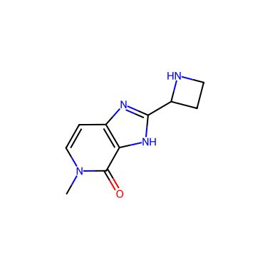 Cn1ccc2nc(C3CCN3)[nH]c2c1=O